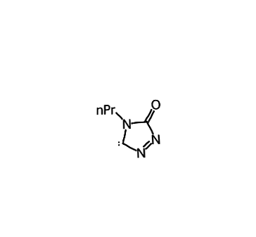 CCCN1[C]N=NC1=O